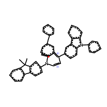 C=C/C=C(\C=C/N(c1ccc(-c2ccccc2)cc1)c1ccc2c(c1)C(C)(C)c1ccccc1-2)c1ccc2c(c1)c1ccccc1n2-c1ccccc1